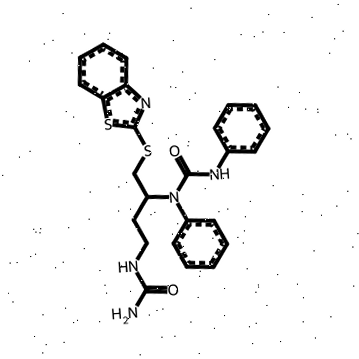 NC(=O)NCCC(CSc1nc2ccccc2s1)N(C(=O)Nc1ccccc1)c1ccccc1